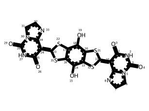 O=c1[nH]c(=O)n2ccnc2c1=C1Sc2c(O)c3c(c(O)c2S1)SC(=c1c(=O)[nH]c(=O)n2ccnc12)S3